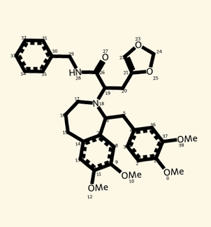 COc1ccc(CC2c3cc(OC)c(OC)cc3CCCN2C(CC2=COCO2)C(=O)NCc2ccccc2)cc1OC